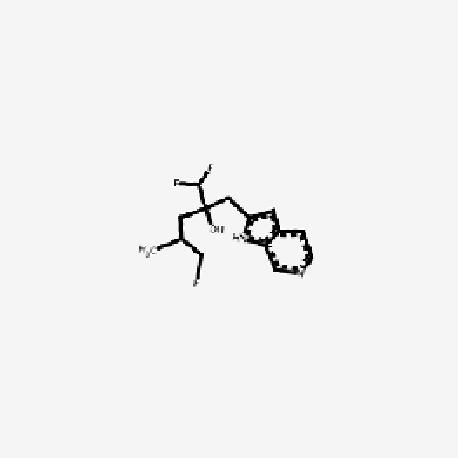 CC(CF)CC(O)(Cc1cc2ccncc2[nH]1)C(F)F